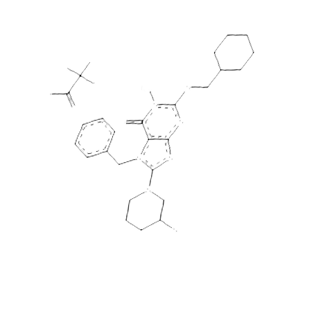 Cn1c(NCC2CCCCC2)nc2nc(N3CCCC(N)C3)n(Cc3ccccc3)c2c1=O.O=C(O)C(F)(F)F